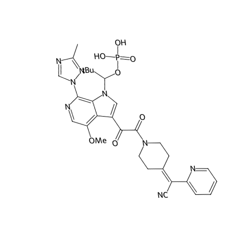 COc1cnc(-n2cnc(C)n2)c2c1c(C(=O)C(=O)N1CCC(=C(C#N)c3ccccn3)CC1)cn2C(OP(=O)(O)O)C(C)(C)C